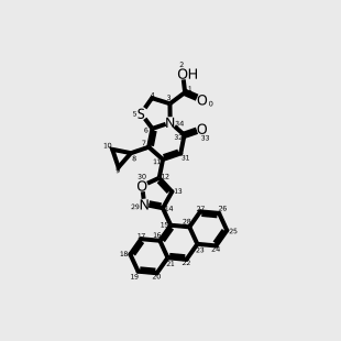 O=C(O)C1CSc2c(C3CC3)c(-c3cc(C4=c5ccccc5=CC5C=CC=CC45)no3)cc(=O)n21